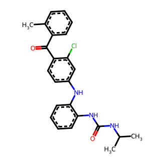 Cc1ccccc1C(=O)c1ccc(Nc2ccccc2NC(=O)NC(C)C)cc1Cl